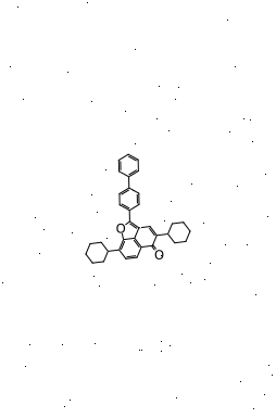 O=C1C(C2CCCCC2)=Cc2c(-c3ccc(-c4ccccc4)cc3)oc3c(C4CCCCC4)ccc1c23